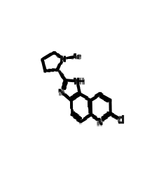 CC(=O)N1CCC[C@@H]1c1nc2ccc3nc(Cl)ccc3c2[nH]1